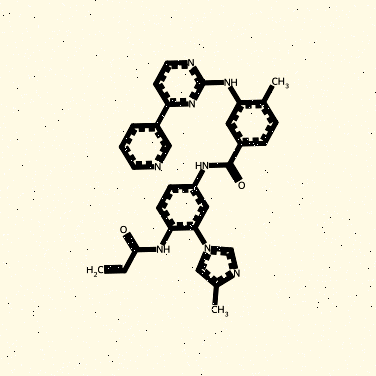 C=CC(=O)Nc1ccc(NC(=O)c2ccc(C)c(Nc3nccc(-c4cccnc4)n3)c2)cc1-n1cnc(C)c1